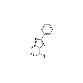 Ic1cccc2sc(-c3ccccc3)nc12